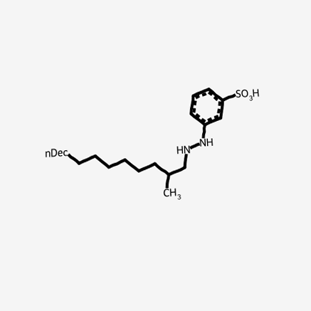 CCCCCCCCCCCCCCCCC(C)CNNc1cccc(S(=O)(=O)O)c1